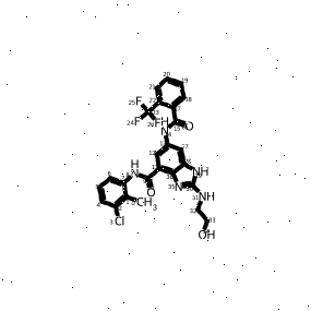 Cc1c(Cl)cccc1NC(=O)c1cc(NC(=O)c2ccccc2C(F)(F)F)cc2[nH]c(NCCO)nc12